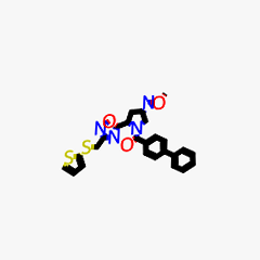 CON=C1CC(c2nc(CSc3cccs3)no2)N(C(=O)c2ccc(-c3ccccc3)cc2)C1